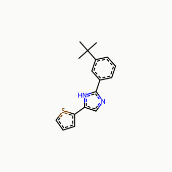 CC(C)(C)c1cccc(-c2ncc(-c3cccs3)[nH]2)c1